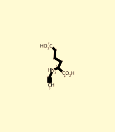 C#CNC(CCCC(=O)O)C(=O)O